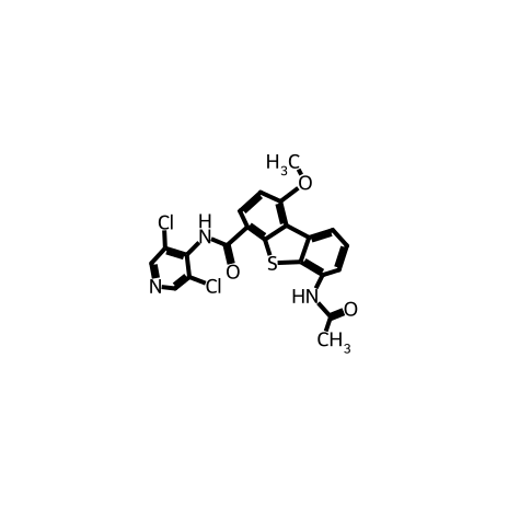 COc1ccc(C(=O)Nc2c(Cl)cncc2Cl)c2sc3c(NC(C)=O)cccc3c12